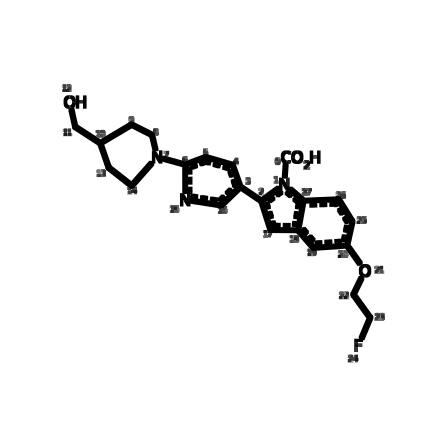 O=C(O)n1c(-c2ccc(N3CCC(CO)CC3)nc2)cc2cc(OCCF)ccc21